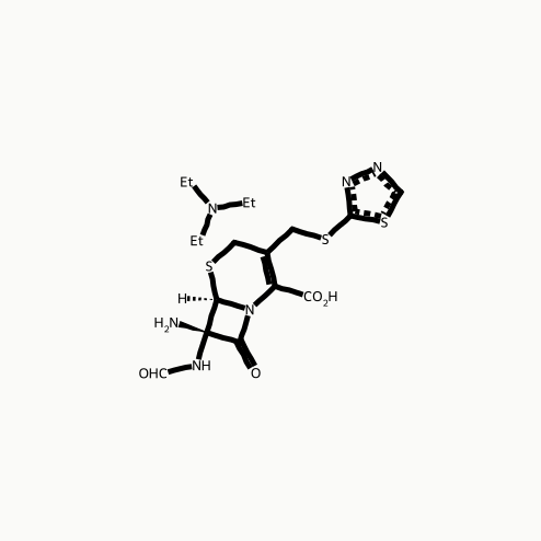 CCN(CC)CC.N[C@]1(NC=O)C(=O)N2C(C(=O)O)=C(CSc3nncs3)CS[C@@H]21